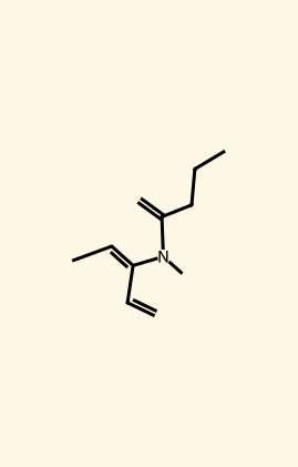 C=C/C(=C\C)N(C)C(=C)CCC